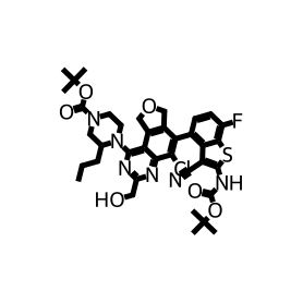 CCCC1CN(C(=O)OC(C)(C)C)CCN1c1nc(CO)nc2c(Cl)c(-c3ccc(F)c4sc(NC(=O)OC(C)(C)C)c(C#N)c34)c3c(c12)COC3